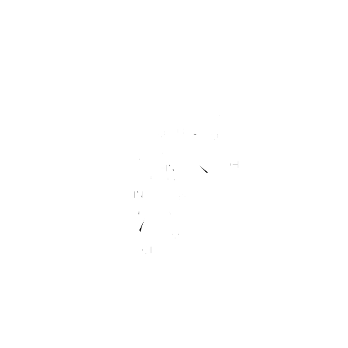 CC(C)(C)OC(=O)[C@@H](CO)NC(=O)C1(C(=O)N[C@H](CO)C(=O)OC(C)(C)C)CCCC1